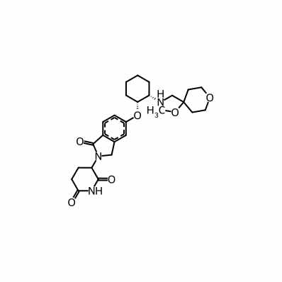 COC1(CN[C@H]2CCCC[C@H]2Oc2ccc3c(c2)CN(C2CCC(=O)NC2=O)C3=O)CCOCC1